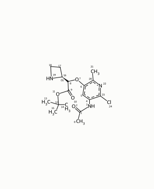 CC(=O)Nc1cc(OC(C(=O)OC(C)(C)C)[C@@H]2CCN2)c(C)nc1Cl